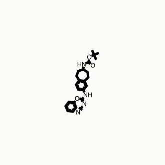 CC(C)(C)OC(=O)NC1CCc2ccc(N/C(=N/C#N)Oc3ccccc3)cc2CC1